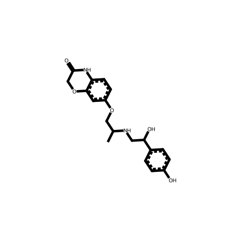 CC(COc1ccc2c(c1)OCC(=O)N2)NCC(O)c1ccc(O)cc1